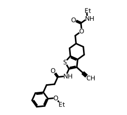 C#Cc1c(NC(=O)CCc2ccccc2OCC)sc2c1CCC(COC(=O)NCC)C2